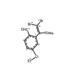 CCOc1ccc(C=O)c(C(OC)=C(Br)Br)c1